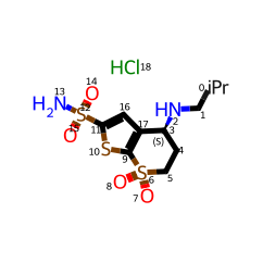 CC(C)CN[C@H]1CCS(=O)(=O)c2sc(S(N)(=O)=O)cc21.Cl